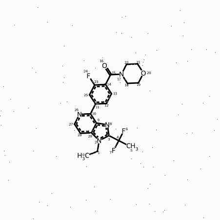 CCn1c(C(C)(F)F)nc2c(-c3ccc(C(=O)N4CCOCC4)c(F)c3)nccc21